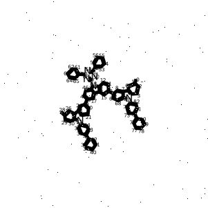 Cc1ccc2c(c1)c1cc(-c3ccc4c(c3)c3cc(-c5ccc6c(c5)c5cc(C)ccc5n6-c5ccc(-c6ccccc6)cc5)ccc3n4-c3nc(-c4ccccc4)nc(-c4ccccc4)n3)ccc1n2-c1ccc(-c2ccccc2)cc1